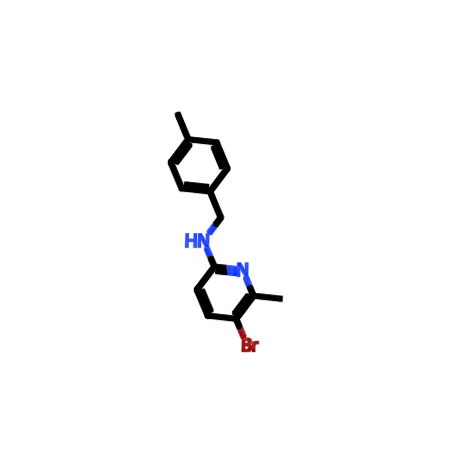 Cc1ccc(CNc2ccc(Br)c(C)n2)cc1